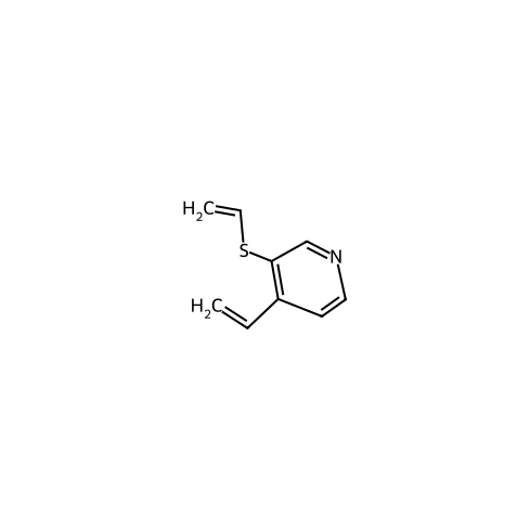 C=CSc1cnccc1C=C